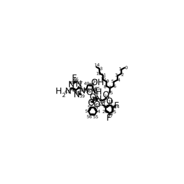 CCCCCCCC(CCCCCCC)COC(=O)[C@H](Cc1cc(F)cc(F)c1)N[P@](=O)(OC[C@@]1(C)O[C@@H](n2cnc3c(N)nc(F)nc32)C[C@@H]1O)Oc1ccccc1